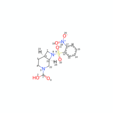 O=C(O)N1CC[C@H]2CN(S(=O)(=O)c3ccccc3[N+](=O)[O-])[C@H]2C1